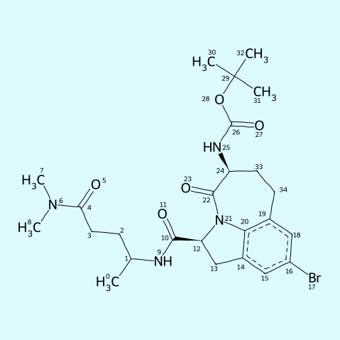 CC(CCC(=O)N(C)C)NC(=O)[C@@H]1Cc2cc(Br)cc3c2N1C(=O)[C@@H](NC(=O)OC(C)(C)C)CC3